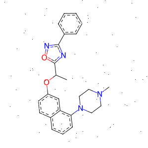 CC(Oc1ccc2cccc(N3CCN(C)CC3)c2c1)c1nc(-c2ccccc2)no1